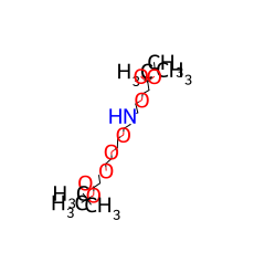 CC(C)(C)OC(=O)CCOCCNCCOCCOCCOCCC(=O)OC(C)(C)C